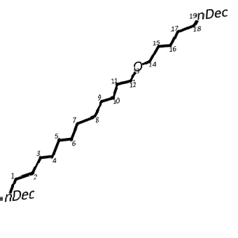 CCCCCCCCCCCCCCCCCCCCC[CH]OCCCCCCCCCCCCCCC